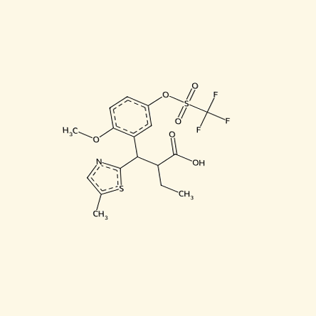 CCC(C(=O)O)C(c1ncc(C)s1)c1cc(OS(=O)(=O)C(F)(F)F)ccc1OC